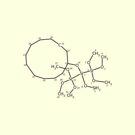 CO[Si](OC)(OC)[Si](O[SiH3])(OC1CCCCCCCCCCC1)[Si](OC)(OC)OC